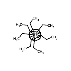 CC[C]12[CH]3[CH]4[C]5(CC)[CH]1[Fe]34251678[C]2(CC)[C]1(CC)[C]6(CC)[C]7(CC)[C]28CC